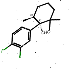 C[C@H]1CCCC(C)(C)[C@@]1(C=O)c1ccc(F)c(F)c1